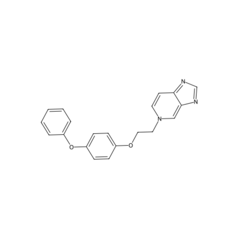 c1ccc(Oc2ccc(OCCn3ccc4ncnc-4c3)cc2)cc1